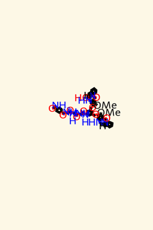 COc1cc2c(cc1OCc1cc(COc3cc4c(cc3OC)C(=O)N3c5ccccc5C[C@H]3C(O)N4)cc(NC(=O)CNC(=O)CNC(=O)CNC(=O)[C@H]3CC[C@H](C(N)=O)CC3)c1)NC[C@@H]1Cc3ccccc3N1C2=O